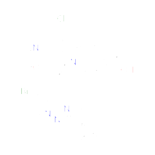 OCC1CCN(Cc2cc(Cl)cnc2Oc2ccc3c(nnn3CC3CC3)c2Br)CC1